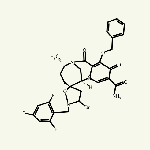 C[C@H]1CC[C@]2(CC(Br)N(Cc3c(F)cc(F)cc3F)O2)[C@H]2CN1C(=O)c1c(OCc3ccccc3)c(=O)c(C(N)=O)cn12